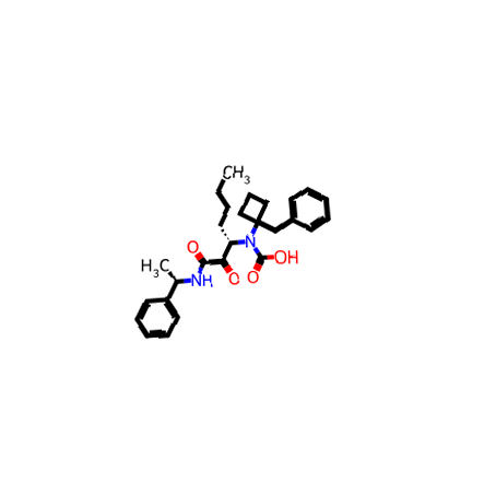 CCCC[C@@H](C(=O)C(=O)N[C@H](C)c1ccccc1)N(C(=O)O)C1(Cc2ccccc2)CCC1